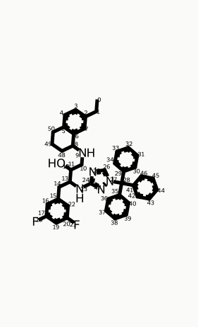 CCc1ccc2c(c1)C(NCC(O)C(Cc1cc(F)cc(F)c1)Nc1ncn(C(c3ccccc3)(c3ccccc3)c3ccccc3)n1)CCC2